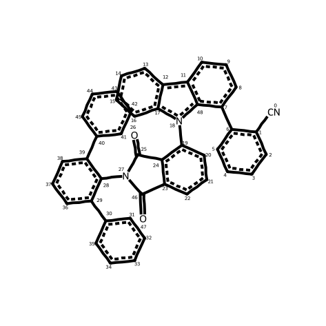 N#Cc1ccccc1-c1cccc2c3ccccc3n(-c3cccc4c3C(=O)N(c3c(-c5ccccc5)cccc3-c3ccccc3)C4=O)c12